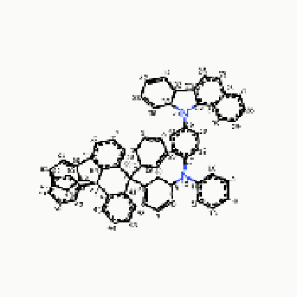 C1=CCC(C2(C3=CC=CC(N(c4ccccc4)c4ccc(N5c6c(ccc7ccccc67)C6C=CC=CC65)cc4)C3)c3ccccc3C3(c4ccccc4)c4c(cccc42)C2=CC=CCC23)C=C1